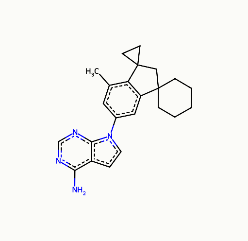 Cc1cc(-n2ccc3c(N)ncnc32)cc2c1C1(CC1)CC21CCCCC1